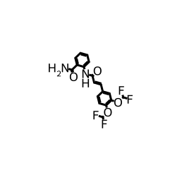 NC(=O)c1ccccc1NC(=O)/C=C/c1ccc(OC(F)F)c(OC(F)F)c1